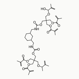 C=C(C)C(=O)OCC(COC(=O)NCC1CCCC(CNC(=O)OCC(COC(=O)C(=C)C)(COC(=O)C(=C)C)COC(O)C(=C)C)C1)(COC(=O)C(=C)C)COC(C)C(=C)C